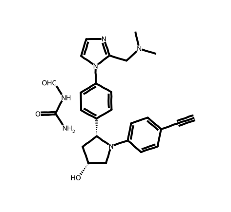 C#Cc1ccc(N2C[C@H](O)C[C@@H]2c2ccc(-n3ccnc3CN(C)C)cc2)cc1.NC(=O)NC=O